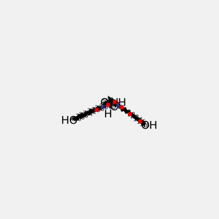 O=C(/C=C/CCCCCCCCCCCCCCO)N[C@@H]1C[C@H]1NC(=O)/C=C/CCCCCCCCCCCCCCO